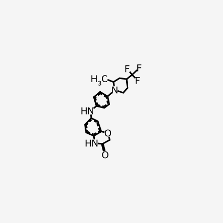 CC1CC(C(F)(F)F)CCN1c1ccc(Nc2ccc3c(c2)OCC(=O)N3)cc1